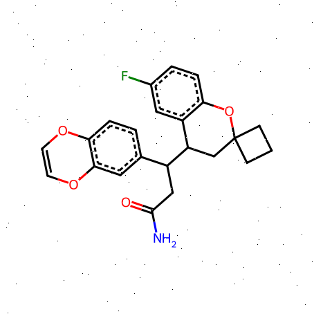 NC(=O)CC(c1ccc2c(c1)OC=CO2)C1CC2(CCC2)Oc2ccc(F)cc21